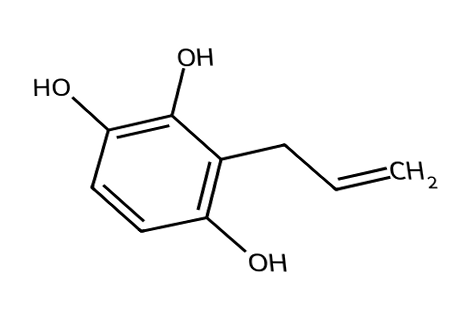 C=CCc1c(O)ccc(O)c1O